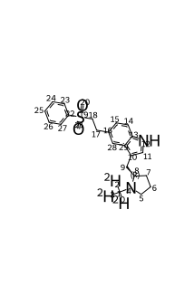 [2H]C([2H])([2H])N1CCC[C@@H]1Cc1c[nH]c2ccc(CCS(=O)(=O)c3ccccc3)cc12